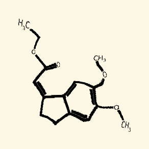 CCOC(=O)/C=C1/CCc2cc(OC)c(OC)cc21